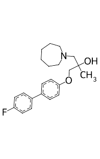 CC(O)(COc1ccc(-c2ccc(F)cc2)cc1)CN1CCCCCC1